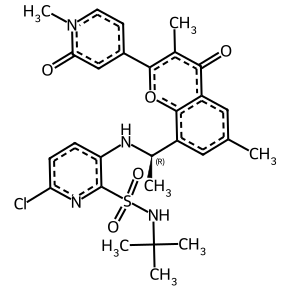 Cc1cc([C@@H](C)Nc2ccc(Cl)nc2S(=O)(=O)NC(C)(C)C)c2oc(-c3ccn(C)c(=O)c3)c(C)c(=O)c2c1